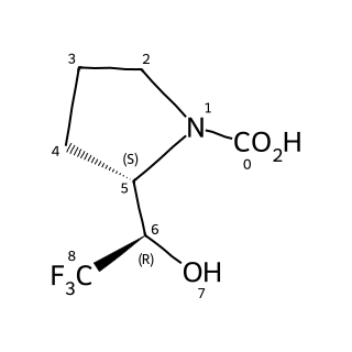 O=C(O)N1CCC[C@H]1[C@@H](O)C(F)(F)F